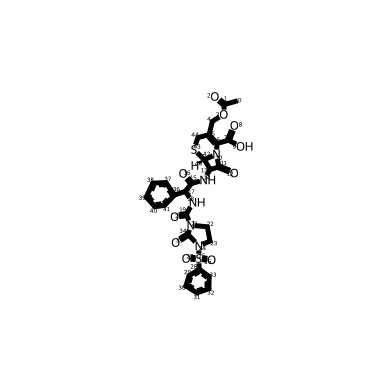 CC(=O)OCC1=C(C(=O)O)N2C(=O)C(NC(=O)C(NC(=O)N3CCN(S(=O)(=O)c4ccccc4)C3=O)c3ccccc3)[C@@H]2SC1